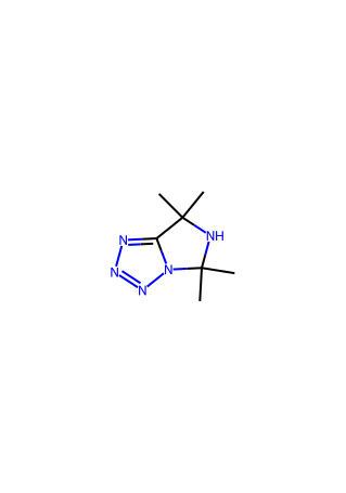 CC1(C)NC(C)(C)n2nnnc21